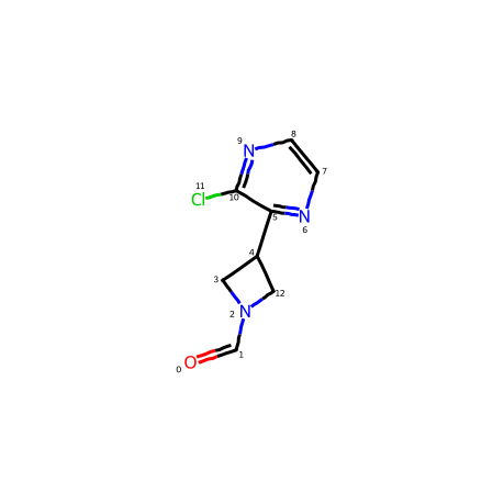 O=CN1CC(c2nccnc2Cl)C1